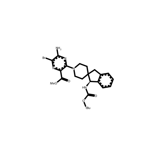 COC(=O)c1nc(Br)c(N)nc1N1CCC2(CC1)Cc1ccccc1[C@H]2NC(=O)OC(C)(C)C